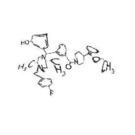 CCOC(=O)C1CCN(C(=O)c2cccc(C(c3cccc(O)c3)N3C[C@@H](C)N(Cc4ccc(F)cc4)C[C@H]3C)c2)CC1